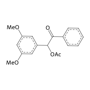 COc1cc(OC)cc(C(OC(C)=O)C(=O)c2ccccc2)c1